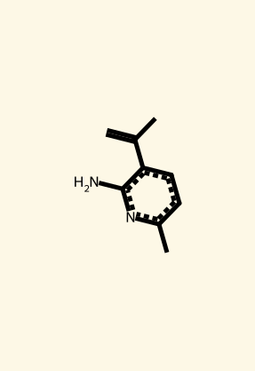 C=C(C)c1ccc(C)nc1N